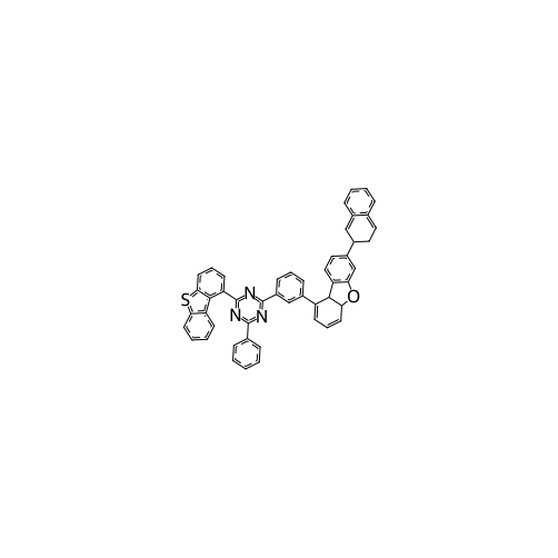 C1=CC2Oc3cc(C4C=c5ccccc5=CC4)ccc3C2C(c2cccc(-c3nc(-c4ccccc4)nc(-c4cccc5sc6ccccc6c45)n3)c2)=C1